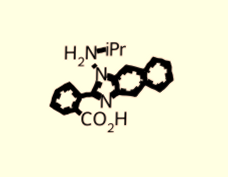 CC(C)N.Cn1c(-c2ccccc2C(=O)O)nc2cc3ccccc3cc21